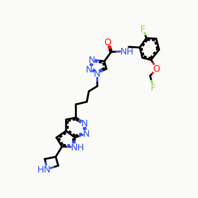 O=C(NCc1cc(OCF)ccc1F)c1cn(CCCCc2cc3cc(C4CNC4)[nH]c3nn2)nn1